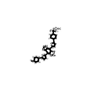 CCCCCCCCCCC(F)(F)c1ccc(-c2ccc(-c3c4c(c(-c5ccc(-c6ccc(C)cc6)s5)c5nsnc35)N=S=N4)s2)cc1